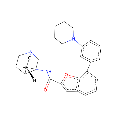 O=C(N[C@H]1CN2CCC1CC2)c1cc2cccc(-c3cccc(N4CCCCC4)c3)c2o1